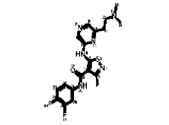 Cc1nsc(Nc2cncc(CCN(C)C)n2)c1C(=O)Nc1ccc(F)c(F)c1